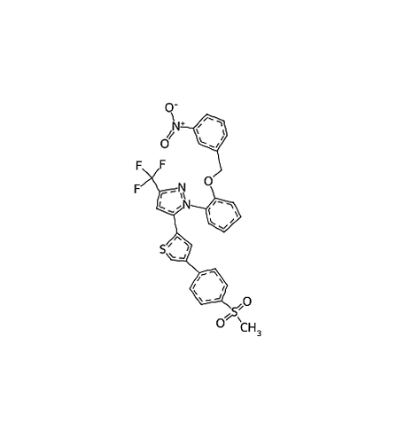 CS(=O)(=O)c1ccc(-c2csc(-c3cc(C(F)(F)F)nn3-c3ccccc3OCc3cccc([N+](=O)[O-])c3)c2)cc1